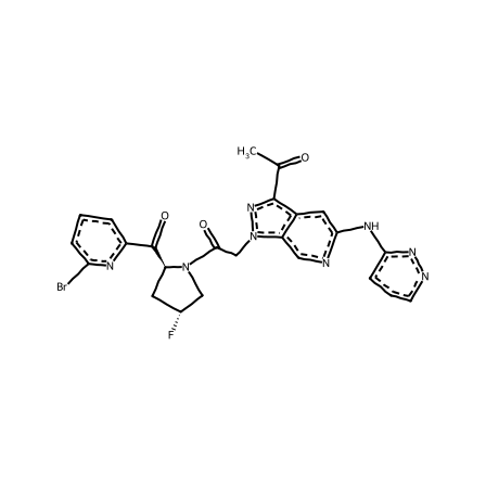 CC(=O)c1nn(CC(=O)N2C[C@H](F)C[C@H]2C(=O)c2cccc(Br)n2)c2cnc(Nc3cccnn3)cc12